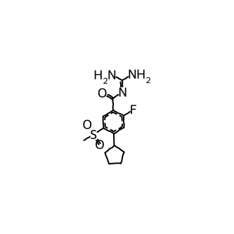 CS(=O)(=O)c1cc(C(=O)N=C(N)N)c(F)cc1C1CCCC1